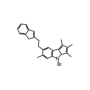 CC1=C(C)C2C(=C1C)c1cc(CCC3=Cc4ccccc4C3)c(C)cc1N2Br